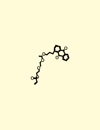 C=CC(=O)OCCOCCOC(C)OCCCc1cccc2c1C(=O)c1ccccc1C2=O